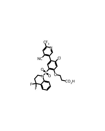 N#Cc1cc(C(F)(F)F)ncc1-c1cc(S(=O)(=O)N2CCC(F)(F)c3ccccc32)c(OCCC(=O)O)cc1Cl